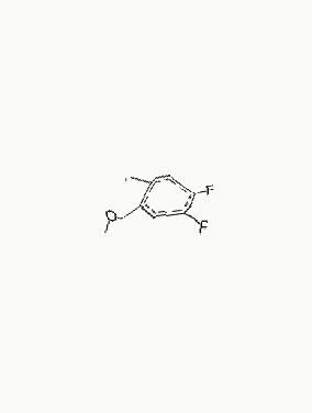 [CH2]c1cc(F)c(F)cc1OC